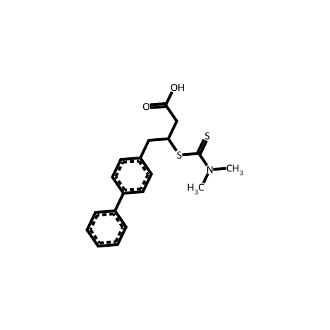 CN(C)C(=S)SC(CC(=O)O)Cc1ccc(-c2ccccc2)cc1